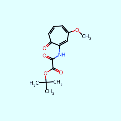 COc1cccc(=O)c(NC(=O)C(=O)OC(C)(C)C)c1